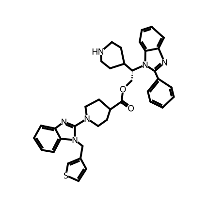 O=C(OC[C@H](C1CCNCC1)n1c(-c2ccccc2)nc2ccccc21)C1CCN(c2nc3ccccc3n2Cc2ccsc2)CC1